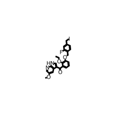 CCOc1c(OCc2ccc(CI)cc2F)cccc1C(=O)c1c[nH]c2ncc(OC)cc12